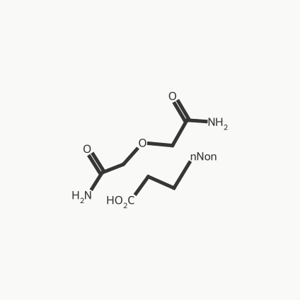 CCCCCCCCCCCC(=O)O.NC(=O)COCC(N)=O